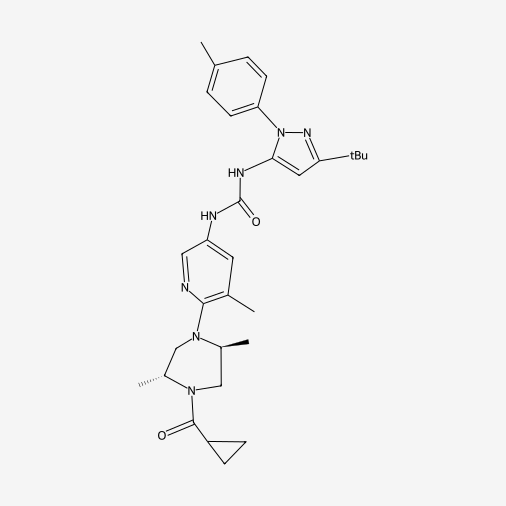 Cc1ccc(-n2nc(C(C)(C)C)cc2NC(=O)Nc2cnc(N3C[C@@H](C)N(C(=O)C4CC4)C[C@@H]3C)c(C)c2)cc1